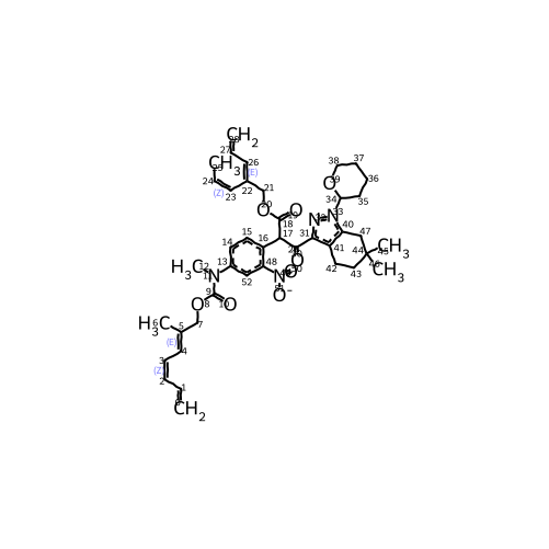 C=C/C=C\C=C(/C)COC(=O)N(C)c1ccc(C(C(=O)OCC(/C=C\C)=C/C=C)C(=O)c2nn(C3CCCCO3)c3c2CCC(C)(C)C3)c([N+](=O)[O-])c1